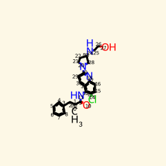 C[C@H](Cc1ccccc1)C(=O)Nc1c(Cl)ccc2nc(N3CC[C@H](NCCO)C3)ccc12